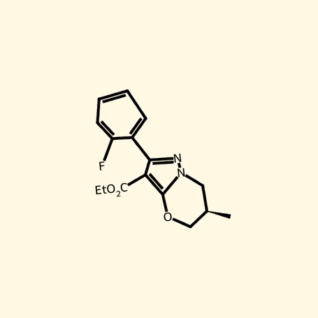 CCOC(=O)c1c(-c2ccccc2F)nn2c1OC[C@H](C)C2